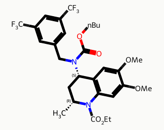 CCCCOC(=O)N(Cc1cc(C(F)(F)F)cc(C(F)(F)F)c1)[C@H]1C[C@@H](C)N(C(=O)OCC)c2cc(OC)c(OC)cc21